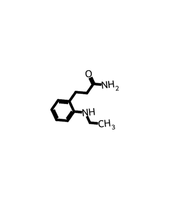 CCNc1ccccc1CCC(N)=O